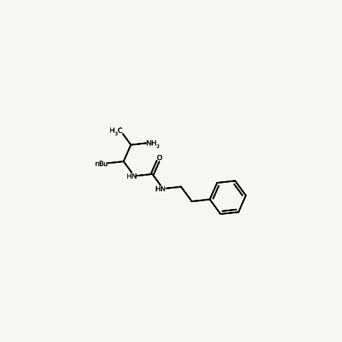 CCCCC(NC(=O)NCCc1ccccc1)C(C)N